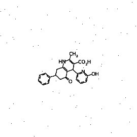 CC1=C(C(=O)O)C(c2cccc(O)n2)C2=C(CC(c3ccccc3)CC2=O)N1